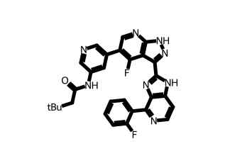 CC(C)(C)CC(=O)Nc1cncc(-c2cnc3[nH]nc(-c4nc5c(-c6ccccc6F)nccc5[nH]4)c3c2F)c1